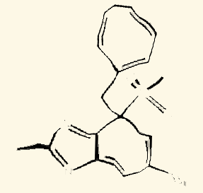 CC1=NC2=CC(Br)=CC(Cc3ccccc3)(S(C)(=O)=O)C2=N1